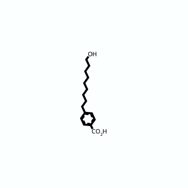 O=C(O)c1ccc(CCCCCCCCCO)cc1